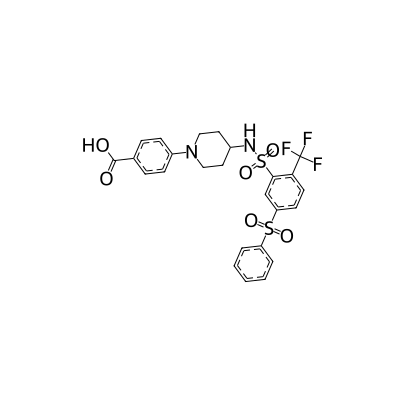 O=C(O)c1ccc(N2CCC(NS(=O)(=O)c3cc(S(=O)(=O)c4ccccc4)ccc3C(F)(F)F)CC2)cc1